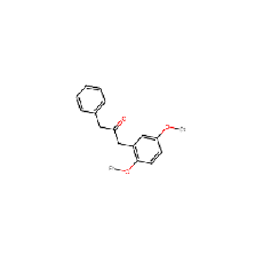 CCOc1ccc(OCC)c(CC(=O)Cc2ccccc2)c1